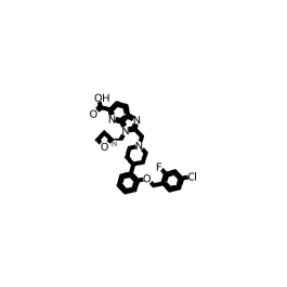 O=C(O)c1ccc2nc(CN3CCC(c4ccccc4OCc4ccc(Cl)cc4F)CC3)n(C[C@@H]3CCO3)c2n1